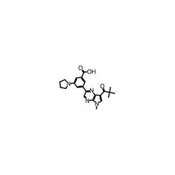 Cn1cc(C(=O)C(C)(C)C)c2nc(-c3cc(C(=O)O)cc(N4CCCC4)c3)cnc21